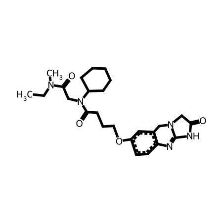 CCN(C)C(=O)CN(C(=O)CCCOc1ccc2c(c1)CN1CC(=O)NC1=N2)C1CCCCC1